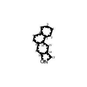 c1ccc2c(c1)ccc1cc3oncc3cc12